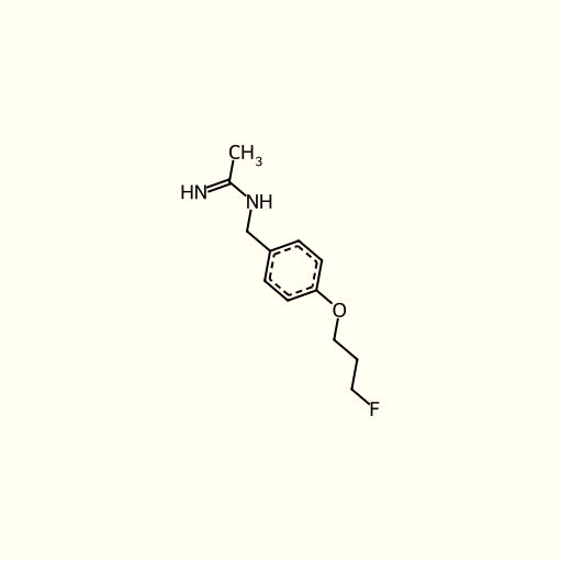 CC(=N)NCc1ccc(OCCCF)cc1